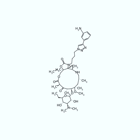 CC[C@H]1OC(O[C@H]2[C@H](C)C(=O)[C@@H](C)C(=O)O[C@H](CC)[C@@]3(C)OC(=O)N(CCCCn4cc(-c5cccc(N)c5)nn4)[C@@H]3[C@@H](C)NC[C@H](C)C[C@@]2(C)OC)[C@H](O)[C@@H](N(C)C)[C@@H]1O